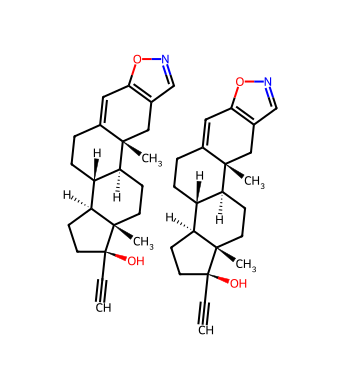 C#C[C@]1(O)CC[C@H]2[C@@H]3CCC4=Cc5oncc5C[C@]4(C)[C@H]3CC[C@@]21C.C#C[C@]1(O)CC[C@H]2[C@@H]3CCC4=Cc5oncc5C[C@]4(C)[C@H]3CC[C@@]21C